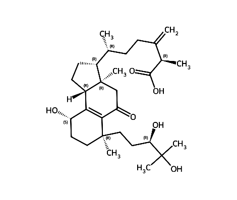 C=C(CC[C@@H](C)[C@H]1CC[C@H]2C3=C(C(=O)C[C@]12C)[C@@](C)(CC[C@@H](O)C(C)(C)O)CC[C@@H]3O)[C@@H](C)C(=O)O